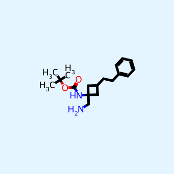 CC(C)(C)OC(=O)NC1(CN)CC(CCc2ccccc2)C1